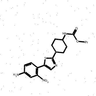 CC(C)OC(=O)NC1CCC(c2ncc(-c3ccc(N)cc3[N+](=O)[O-])s2)CC1